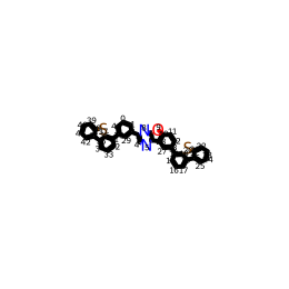 c1cc(-c2cnc3c(n2)oc2ccc(-c4cccc5c4sc4ccccc45)cc23)cc(-c2cccc3c2sc2ccccc23)c1